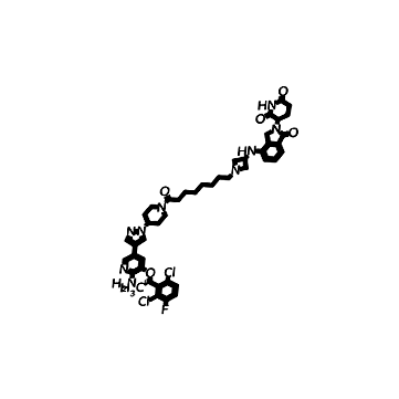 C[C@@H](Oc1cc(-c2cnn(C3CCN(C(=O)CCCCCCCN4CC(Nc5cccc6c5CN(C5CCC(=O)NC5=O)C6=O)C4)CC3)c2)cnc1N)c1c(Cl)ccc(F)c1Cl